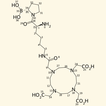 N[C@@H](CCCCNC(=O)CN1CCN(CC(=O)O)CCN(CC(=O)O)CCN(CC(=O)O)CC1)C(=O)N1CCC[C@H]1B(O)O